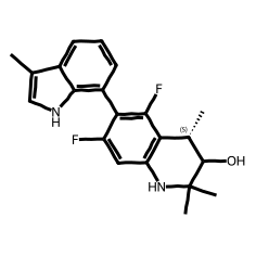 Cc1c[nH]c2c(-c3c(F)cc4c(c3F)[C@H](C)C(O)C(C)(C)N4)cccc12